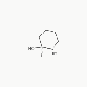 CC1(O)CCCCC1.Cl